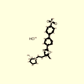 Cc1oc(-c2ccc(-c3ccc(S(C)(=O)=O)cc3)cc2)nc1CCN1CCC[C@@H]1C.Cl